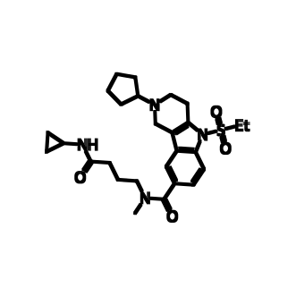 CCS(=O)(=O)n1c2c(c3cc(C(=O)N(C)CCCC(=O)NC4CC4)ccc31)CN(C1CCCC1)CC2